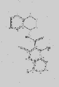 O=C(N[C@H]1CCOc2ccccc21)c1c(O)c2cccc(Br)c2oc1=O